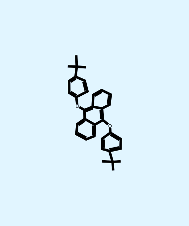 CC(C)(C)c1ccc(Oc2c3ccccc3c(Oc3ccc(C(C)(C)C)cc3)c3ccccc23)cc1